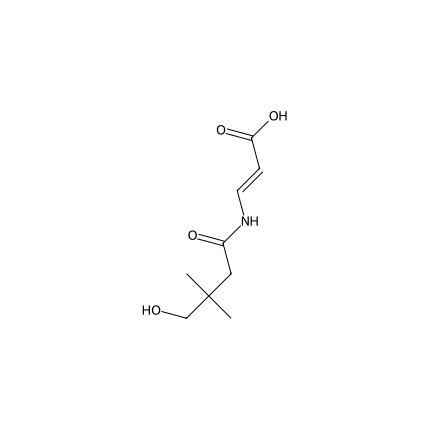 CC(C)(CO)CC(=O)N/C=C/C(=O)O